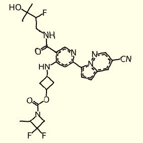 CC1N(C(=O)OC2CC(Nc3cc(-c4ccc5cc(C#N)cnn45)ncc3C(=O)NCC(F)C(C)(C)O)C2)CC1(F)F